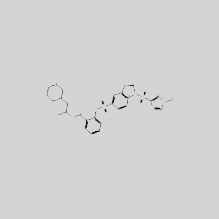 CC(CC1CCCCC1)NCc1ccccc1NS(=O)(=O)c1ccc2c(c1)CCN2S(=O)(=O)c1cn(C)cn1